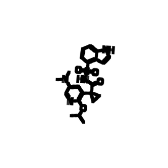 CC(C)Oc1ncc(N(C)C)cc1C1(C(=O)NS(=O)(=O)c2cccc3[nH]ccc23)CC1